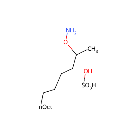 CCCCCCCCCCCCC(C)ON.O=S(=O)(O)O